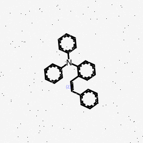 C(=C/c1ccccc1N(c1ccccc1)c1ccccc1)/c1ccccc1